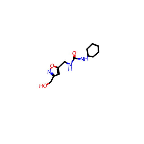 O=C(NCc1cc(CO)no1)NC1CCCCC1